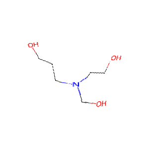 OCCCN(CO)CCO